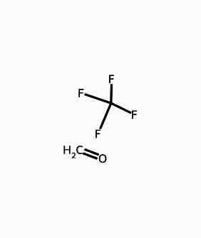 C=O.FC(F)(F)F